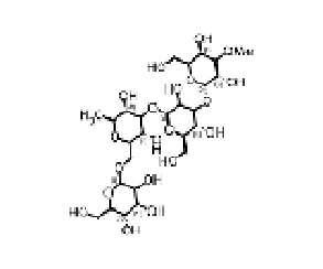 COC1[C@H](O)C(CO)O[C@@H](OC2C(O)[C@H](OC3[C@H](O)C(C)OC(CO[C@@H]4OC(CO)[C@@H](O)[C@H](O)C4O)[C@H]3O)OC(CO)[C@H]2O)[C@H]1O